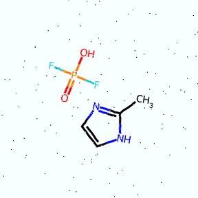 Cc1ncc[nH]1.O=P(O)(F)F